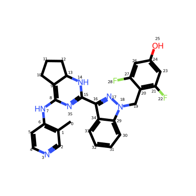 Cc1cnccc1NC1=C2CCCC2NC(c2nn(Cc3c(F)cc(O)cc3F)c3ccccc23)=N1